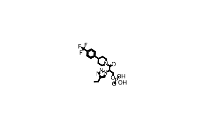 CCc1cn(C(COP(=O)(O)O)C(=O)N2CCC(c3ccc(C(F)(F)F)cc3)CC2)nn1